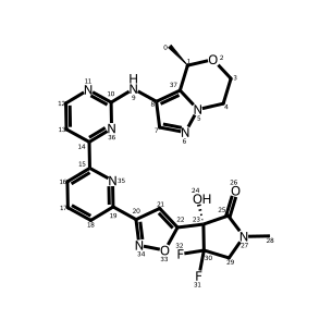 C[C@H]1OCCn2ncc(Nc3nccc(-c4cccc(-c5cc([C@@]6(O)C(=O)N(C)CC6(F)F)on5)n4)n3)c21